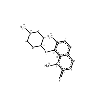 Cc1ncc2ccc(=O)n(C)c2c1OC1CCN(C)CC1